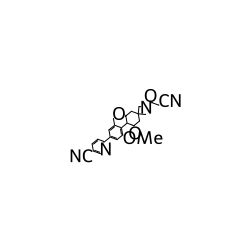 COc1cc(-c2ccc(C#N)cn2)cc(C)c1C1C(=O)CC2(CC1=O)CN(C(=O)CC#N)C2